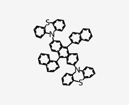 c1ccc2c(c1)Sc1ccccc1N2c1ccc2c(-c3cccc4ccccc34)c3cc(N4c5ccccc5Sc5ccccc54)ccc3c(-c3ccc4ccccc4c3)c2c1